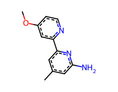 COc1ccnc(-c2cc(C)cc(N)n2)c1